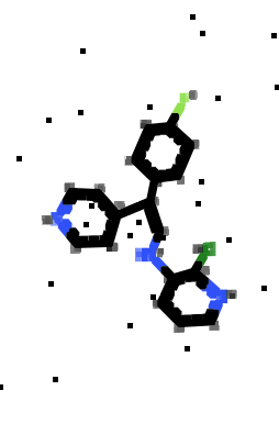 Fc1ccc(C(=CNc2cccnc2Cl)c2ccncc2)cc1